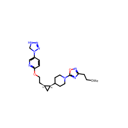 COCCc1noc(N2CCC([C@H]3C[C@H]3CCOc3ccc(N4CNN=N4)cn3)CC2)n1